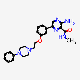 CNC(=O)c1nc(-c2cccc(OCCN3CCN(c4ccccc4)CC3)c2)cnc1N